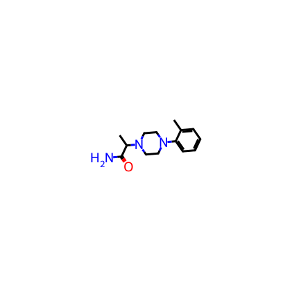 Cc1ccccc1N1CCN(C(C)C(N)=O)CC1